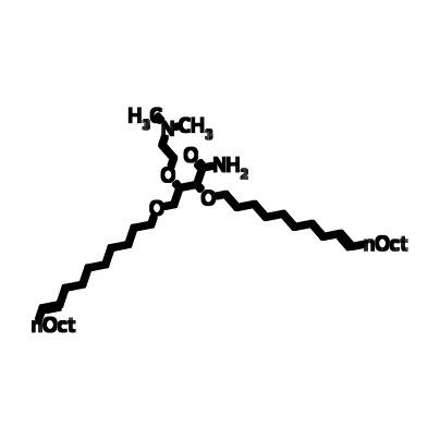 CCCCCCCCC=CCCCCCCCCOCC(OCCN(C)C)C(OCCCCCCCCC=CCCCCCCCC)C(N)=O